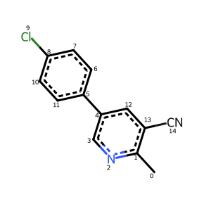 Cc1ncc(-c2ccc(Cl)cc2)cc1C#N